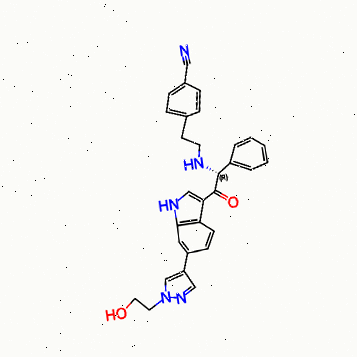 N#Cc1ccc(CCN[C@@H](C(=O)c2c[nH]c3cc(-c4cnn(CCO)c4)ccc23)c2ccccc2)cc1